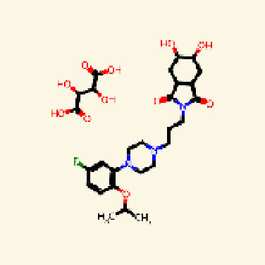 CC(C)Oc1ccc(F)cc1N1CCN(CCCN2C(=O)C3CC(O)C(O)CC3C2=O)CC1.O=C(O)C(O)C(O)C(=O)O